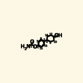 NC(=O)Oc1ccc(C2CCC(O)CC2)cc1